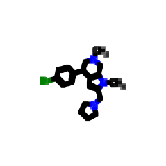 CN1Cc2c(cc(CN3CCCC3)n2C)C(c2ccc(Br)cc2)C1